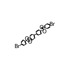 O=S(=O)(c1ccc(Br)cc1)c1ccc(-c2ccc(S(=O)(=O)c3ccc(Br)cc3)cc2)cc1